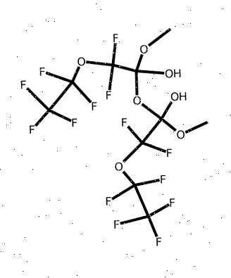 COC(O)(OC(O)(OC)C(F)(F)OC(F)(F)C(F)(F)F)C(F)(F)OC(F)(F)C(F)(F)F